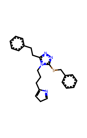 C1=NC(CCCn2c(CCc3ccccc3)nnc2SCc2ccccc2)=CC1